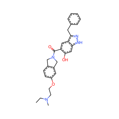 CCN(C)CCOc1ccc2c(c1)CN(C(=O)c1cc3c(Cc4ccccc4)n[nH]c3cc1O)C2